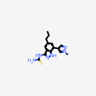 CCCc1cc(-c2cnn(C)c2)c2[nH]nc(NC(N)=S)c2c1